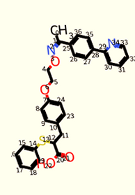 CC(=NOCCOc1ccc(CC(Sc2ccccc2)C(=O)O)cc1)c1ccc(-c2ccccn2)cc1